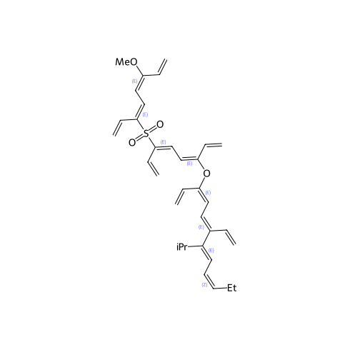 C=C/C(=C\C=C(/C=C)S(=O)(=O)/C(C=C)=C/C=C(\C=C)O/C(C=C)=C/C=C(C=C)/C(=C/C=C\CC)C(C)C)OC